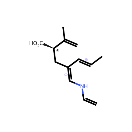 C=CN/C=C(\C=C\C)C[C@H](C(=C)C)C(=O)O